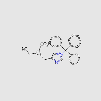 N#CCC1C(Cc2cn(C(c3ccccc3)(c3ccccc3)c3ccccc3)cn2)C1C(=O)O